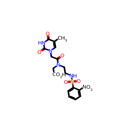 Cc1cn(CC(=O)N(CCNS(=O)(=O)c2ccccc2[N+](=O)[O-])CC(=O)O)c(=O)[nH]c1=O